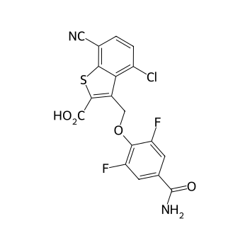 N#Cc1ccc(Cl)c2c(COc3c(F)cc(C(N)=O)cc3F)c(C(=O)O)sc12